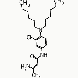 CCCCCCN(CCCCCC)c1ccc(NC(=O)C=C(C)N)cc1Cl